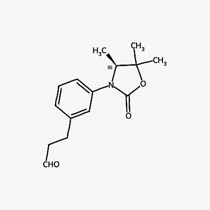 C[C@@H]1N(c2cccc(CCC=O)c2)C(=O)OC1(C)C